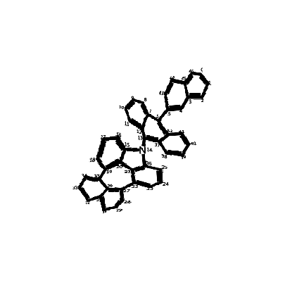 c1ccc2cc(-c3c4ccccc4c(-n4c5cccc6c5c5c(cccc54)-c4cccc5cccc-6c45)c4ccccc34)ccc2c1